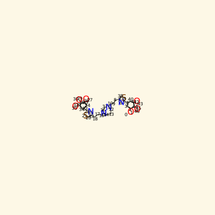 COc1cc(-c2nc(CCCN3CCCN(CCCc4csc(-c5cc(OC)c(OC)c(OC)c5)n4)CC3)cs2)cc(OC)c1OC